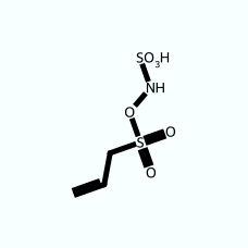 C=CCS(=O)(=O)ONS(=O)(=O)O